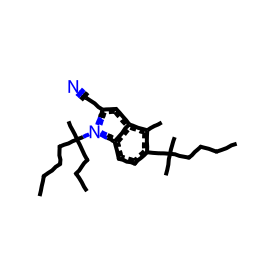 CCCCC(C)(C)c1ccc2c(cc(C#N)n2C(C)(CCC)CCCC)c1C